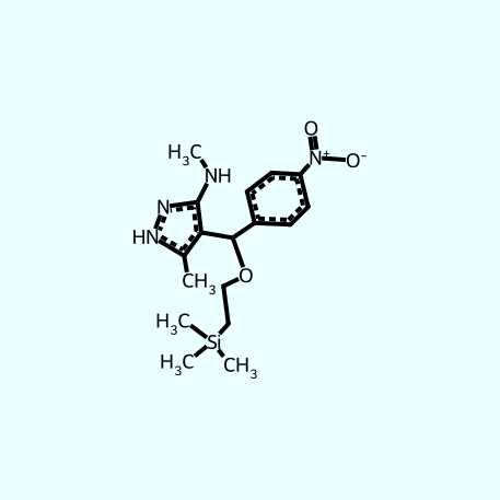 CNc1n[nH]c(C)c1C(OCC[Si](C)(C)C)c1ccc([N+](=O)[O-])cc1